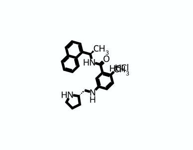 Cc1ccc(NC[C@@H]2CCCN2)cc1C(=O)N[C@H](C)c1cccc2ccccc12.Cl.Cl